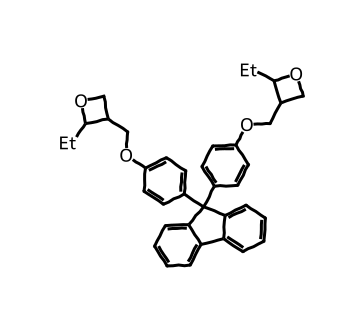 CCC1OCC1COc1ccc(C2(c3ccc(OCC4COC4CC)cc3)c3ccccc3-c3ccccc32)cc1